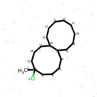 CC1(Cl)CCCCC2CCCCCCCCC2CCC1